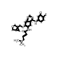 CN(C)CC=CC(=O)Nc1cc2c(Nc3ccc(F)c(Cl)c3)ncnc2cc1OCC12COCC1C2